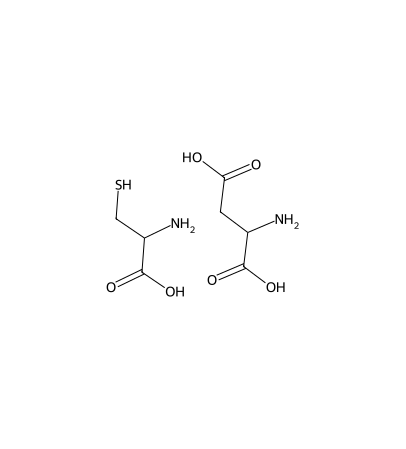 NC(CC(=O)O)C(=O)O.NC(CS)C(=O)O